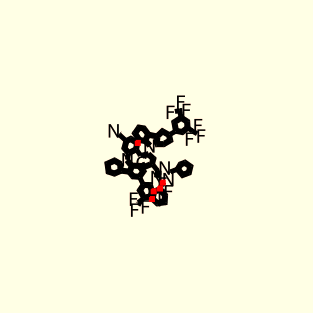 N#Cc1ccc(-c2ccc(-c3nc(-c4ccccc4)nc(-c4ccccc4)n3)cc2-n2c3ccccc3c3cc(-c4cc(C(F)(F)F)cc(C(F)(F)F)c4)ccc32)c(-n2c3ccccc3c3cc(-c4cc(C(F)(F)F)cc(C(F)(F)F)c4)ccc32)c1